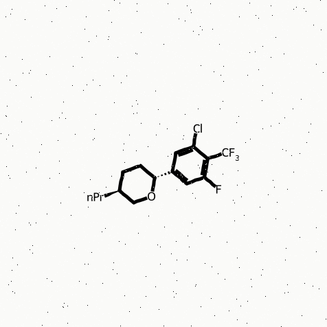 CCC[C@H]1CC[C@H](c2cc(F)c(C(F)(F)F)c(Cl)c2)OC1